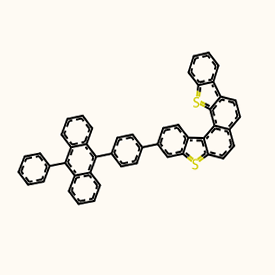 c1ccc(-c2c3ccccc3c(-c3ccc(-c4ccc5c(c4)sc4ccc6ccc7c8ccccc8sc7c6c45)cc3)c3ccccc23)cc1